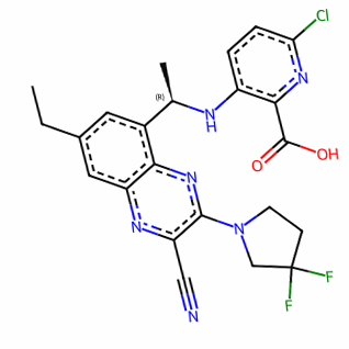 CCc1cc([C@@H](C)Nc2ccc(Cl)nc2C(=O)O)c2nc(N3CCC(F)(F)C3)c(C#N)nc2c1